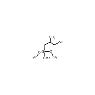 CCCO[Si](CC(C)CS)(OC)OCCC